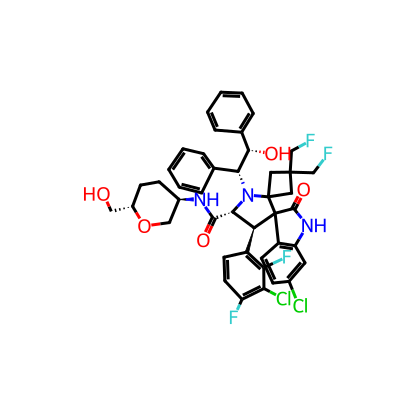 O=C(N[C@@H]1CC[C@@H](CO)OC1)[C@H]1[C@H](c2ccc(F)c(Cl)c2F)C2(C(=O)Nc3cc(Cl)ccc32)C2(CC(CF)(CF)C2)N1[C@H](c1ccccc1)[C@@H](O)c1ccccc1